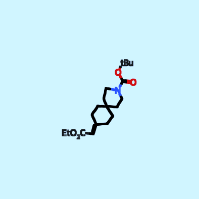 CCOC(=O)C=C1CCC2(CC1)CCN(C(=O)OC(C)(C)C)CC2